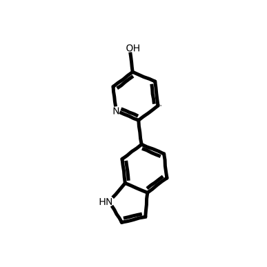 Oc1c[c]c(-c2ccc3cc[nH]c3c2)nc1